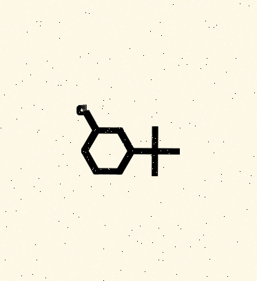 CC(C)(C)C1CCCC(Cl)C1